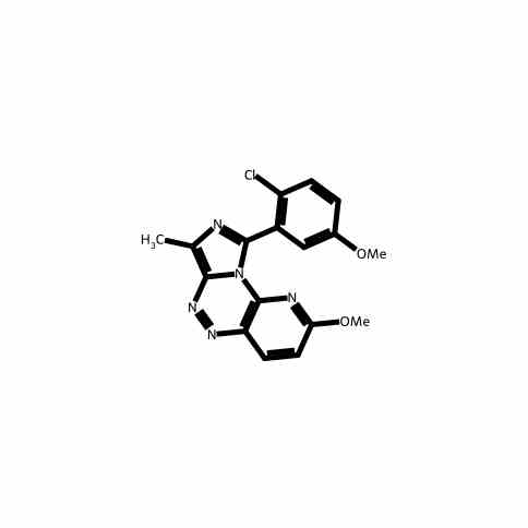 COc1ccc(Cl)c(-c2nc(C)c3nnc4ccc(OC)nc4n23)c1